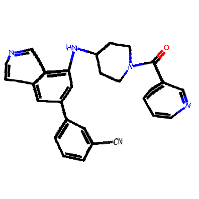 N#Cc1cccc(-c2cc(NC3CCN(C(=O)c4cccnc4)CC3)c3cnccc3c2)c1